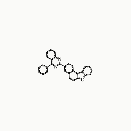 c1ccc(-c2nc(-c3ccc4c(ccc5oc6ccccc6c54)c3)nc3ccccc23)cc1